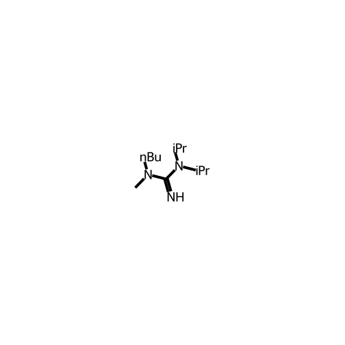 CCCCN(C)C(=N)N(C(C)C)C(C)C